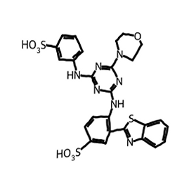 O=S(=O)(O)c1cccc(Nc2nc(Nc3ccc(S(=O)(=O)O)cc3-c3nc4ccccc4s3)nc(N3CCOCC3)n2)c1